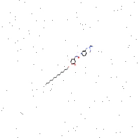 CCCCCCCCCCCCCCOc1ccc(CC(=O)Nc2cccc(C[n+]3ccsc3C)c2)cc1OC.[Br-]